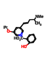 CN[C@@H](C)CC=Cc1cncc(OC(C)C)c1.O=C(O)c1ccccc1O